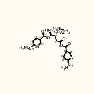 CC(C)=O.N=C(CCC(=O)OC(=O)c1ccc(NN)nc1)OC(=O)c1ccc(NN)nc1.NN